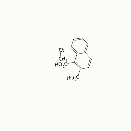 CCC.O=C(O)c1ccc2ccccc2c1C(=O)O